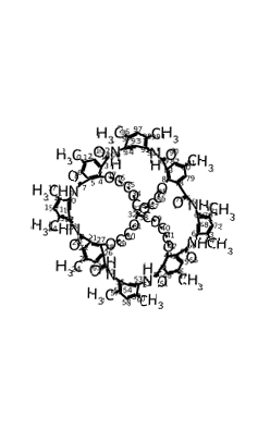 Cc1cc2c3c(c1)C(=O)Nc1cc(c(C)cc1C)NC(=O)c1cc(C)cc4c1OCCOC1(COCCO3)COCCOc3c(cc(C)cc3C(=O)Nc3cc(c(C)cc3C)NC4=O)C(=O)Nc3cc(c(C)cc3C)NC(=O)c3cc(C)cc(c3OCCO1)C(=O)Nc1cc(c(C)cc1C)NC2=O